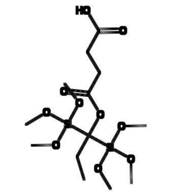 CCC(OC(=O)CCC(=O)O)([Si](OC)(OC)OC)[Si](OC)(OC)OC